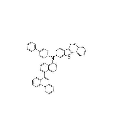 c1ccc(-c2ccc(N(c3ccc4c(c3)sc3c5ccccc5ccc43)c3cccc4c(-c5cc6ccccc6c6ccccc56)cccc34)cc2)cc1